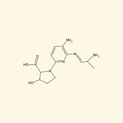 CC(N)C=Nc1nc(N2CCC(O)C2C(=O)O)ccc1N